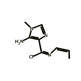 C/C=C\N=C(\Cl)c1ncn(C)c1N